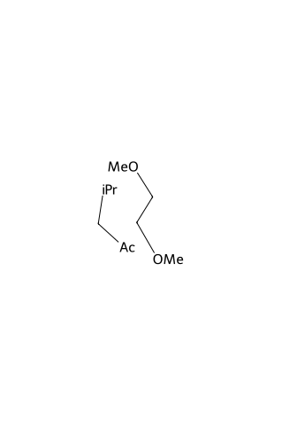 CC(=O)CC(C)C.COCCOC